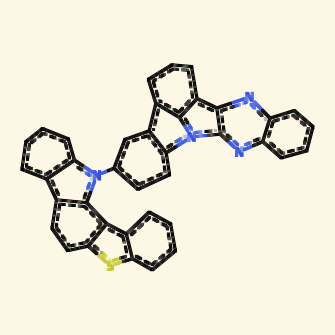 c1ccc2nc3c(nc2c1)c1cccc2c4cc(-n5c6ccccc6c6ccc7sc8ccccc8c7c65)ccc4n3c21